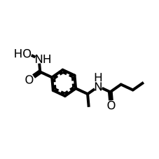 CCCC(=O)NC(C)c1ccc(C(=O)NO)cc1